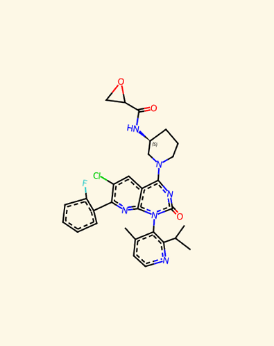 Cc1ccnc(C(C)C)c1-n1c(=O)nc(N2CCC[C@H](NC(=O)C3CO3)C2)c2cc(Cl)c(-c3ccccc3F)nc21